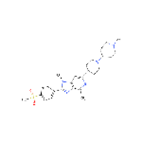 CC(C)N1CCC(N2CCC(c3cc4c(nc(-c5ccc(S(C)(=O)=O)cc5)n4C)c(C(F)(F)F)n3)CC2)CC1